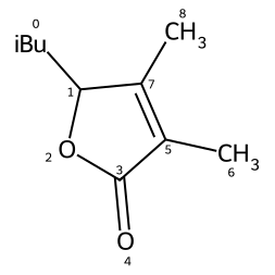 CCC(C)C1OC(=O)C(C)=C1C